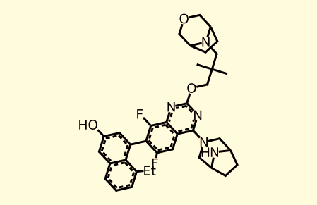 CCc1cccc2cc(O)cc(-c3c(F)cc4c(N5CC6CCC(C5)N6)nc(OCC(C)(C)CN5C6CCC5COC6)nc4c3F)c12